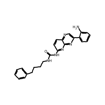 Nc1ccccc1-c1cnc2ccc(NC(=O)NCCCCc3ccccc3)nc2n1